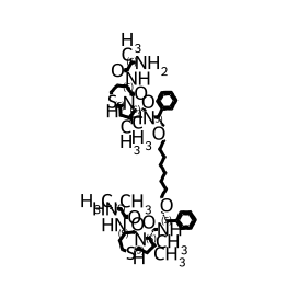 CN[C@@H](C)C(=O)N[C@H]1CCS[C@H]2CC(C)(C)[C@@H](C(=O)N[C@H](COCCCCCCCCOC[C@@H](NC(=O)[C@H]3N4C(=O)[C@@H](NC(=O)[C@H](C)N)CCS[C@H]4CC3(C)C)c3ccccc3)c3ccccc3)N2C1=O